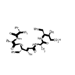 CC(C)C[C@H](NC(=O)[C@H](C)NC(=O)C[C@H](O)[C@H](CC(C)C)NC(=O)[C@@H](NC(=O)[C@@H](N)C(C)C)C(C)C)[C@@H](O)CC(=O)O